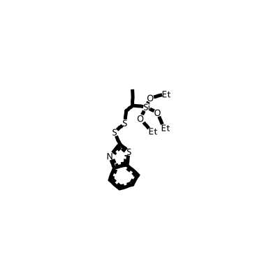 CCO[Si](OCC)(OCC)C(C)CSSc1nc2ccccc2s1